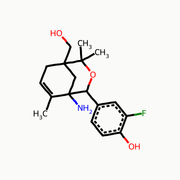 CC1=CCC2(CO)CC1(N)C(c1ccc(O)c(F)c1)OC2(C)C